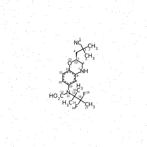 CC(C)(C#N)C[C@H]1CNc2cc(N(C(=O)O)C(C)(C)C(C)(F)F)ccc2O1